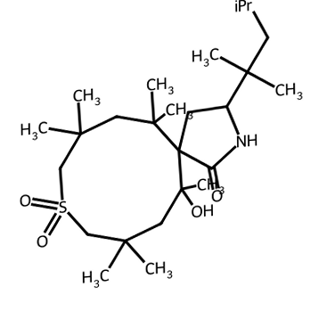 CC(C)CC(C)(C)C1CC2(C(=O)N1)C(C)(C)CC(C)(C)CS(=O)(=O)CC(C)(C)CC2(C)O